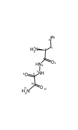 CC(C)C[C@H](N)C(=O)NNC(=O)C(N)=O